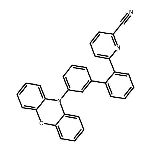 N#Cc1cccc(-c2ccccc2-c2cccc(N3c4ccccc4Oc4ccccc43)c2)n1